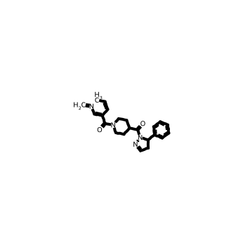 C=N/C=C(\C=C/C)C(=O)N1CCC(C(=O)N2N=CCC2c2ccccc2)CC1